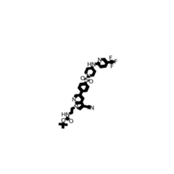 CC(C)(C)OC(=O)NCCn1cc(C#N)c2cc(-c3ccc(S(=O)(=O)N4CCC(Nc5ccc(C(F)(F)F)cn5)CC4)cc3)cnc21